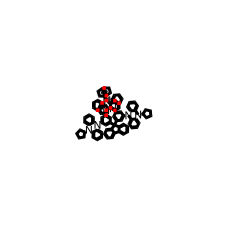 c1ccc2c(c1)-c1ccccc1C2(c1cc(N2c3ccccc3N(C3CCCC3)c3ccccc32)cc(N2c3ccccc3N(C3CCCC3)c3ccccc32)c1)c1cc(N2c3ccccc3N(C3CCCC3)c3ccccc32)cc(N2c3ccccc3N(C3CCCC3)c3ccccc32)c1